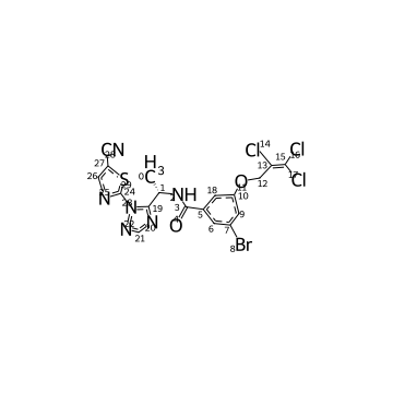 C[C@H](NC(=O)c1cc(Br)cc(OCC(Cl)=C(Cl)Cl)c1)c1ncnn1-c1ncc(C#N)s1